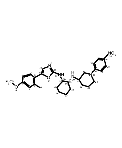 Cc1cc(OC(F)(F)F)ccc1-c1cnc(N[C@@H]2CCCC[C@H]2NC2CCCN(c3ccc([N+](=O)[O-])cc3)C2)o1